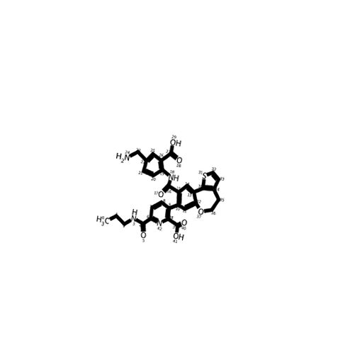 CCCNC(=O)c1ccc(-c2cc3c(cc2C(=O)Nc2ccc(CN)cc2C(=O)O)-c2sccc2CCO3)c(C(=O)O)n1